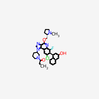 C=CC(=O)N1CCCC(n2cnc3c(OC[C@@H]4CCCN4C)nc4c(F)c(-c5cc(O)cc6ccccc56)c(Cl)cc4c32)C1